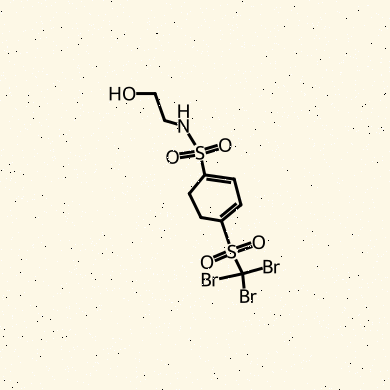 O=S(=O)(NCCO)C1=CC=C(S(=O)(=O)C(Br)(Br)Br)CC1